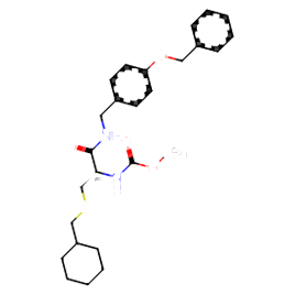 CC(C)(C)OC(=O)N[C@@H](CSCC1CCCCC1)C(=O)NCc1ccc(OCc2ccccc2)cc1